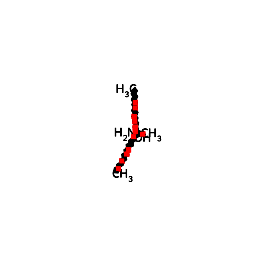 CCCCCCCCCCCCCCCCC(N)C(O)(CCC)CCCCCCCCCCCCCCCC